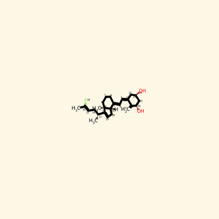 C=C1/C(=C\C=C2/CCC[C@]3(C)C([C@H](C)C/C=C(/C)F)=CC[C@@H]23)C[C@@H](O)C[C@@H]1O